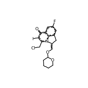 O=c1c(I)c(CCl)n2c3c(cc(F)cc13)CC2=COC1CCCCO1